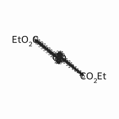 CCOC(=O)CCCCCCCCCCCCCCCCOc1c2ccccc2c(OCCCCCCCCCCCCCCCCC(=O)OCC)c2ccccc12